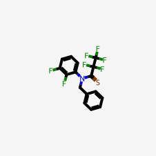 Fc1cccc(N(Cc2ccccc2)C(=S)C(F)(F)C(F)(F)F)c1F